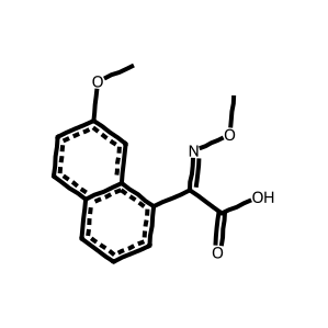 CON=C(C(=O)O)c1cccc2ccc(OC)cc12